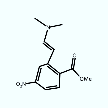 COC(=O)c1ccc([N+](=O)[O-])cc1C=CN(C)C